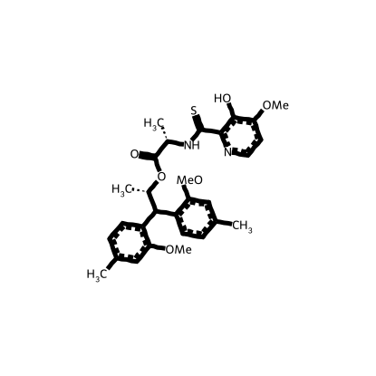 COc1cc(C)ccc1C(c1ccc(C)cc1OC)[C@H](C)OC(=O)[C@H](C)NC(=S)c1nccc(OC)c1O